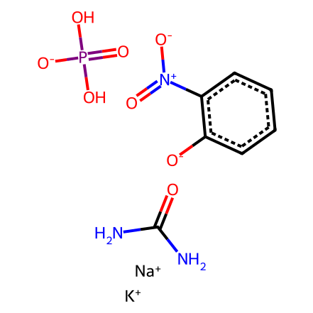 NC(N)=O.O=P([O-])(O)O.O=[N+]([O-])c1ccccc1[O-].[K+].[Na+]